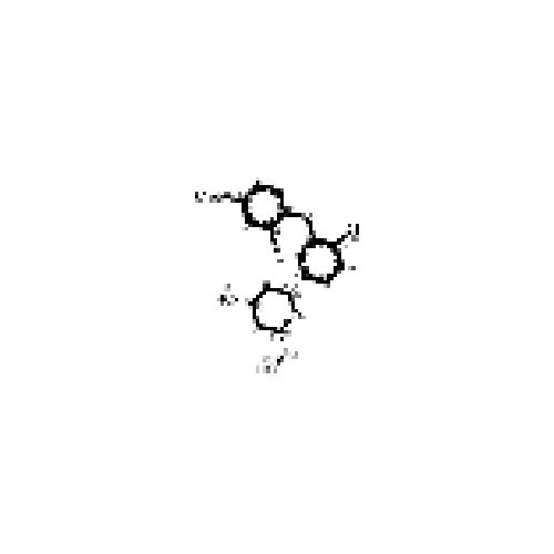 CSc1ccc(Cc2cc([C@H]3C[C@@H](O)C[C@@H](CO)O3)ccc2Cl)c(F)c1